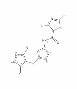 CC1=NN(C)C(C(=O)Nc2cnn(Cc3c(C)noc3C)c2)C1